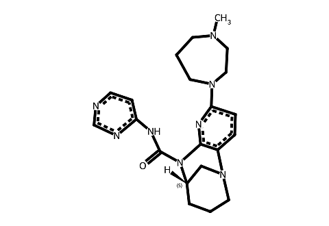 CN1CCCN(c2ccc3c(n2)N(C(=O)Nc2ccncn2)[C@H]2CCCN3C2)CC1